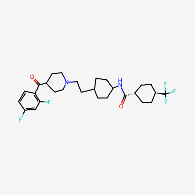 O=C(c1ccc(F)cc1F)C1CCN(CCC2CCC(NC(=O)[C@H]3CC[C@H](C(F)(F)F)CC3)CC2)CC1